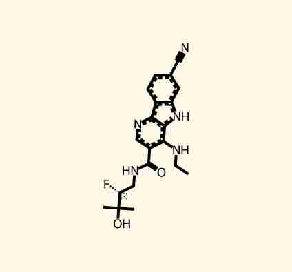 CCNc1c(C(=O)NC[C@@H](F)C(C)(C)O)cnc2c1[nH]c1cc(C#N)ccc12